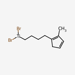 CC1=C(CCC[CH2][Ti]([Br])[Br])CC=C1